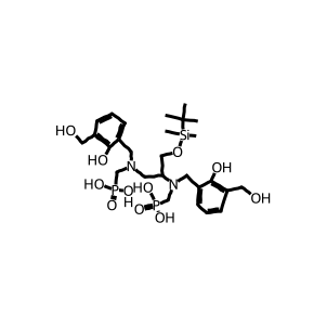 CC(C)(C)[Si](C)(C)OCC(CN(Cc1cccc(CO)c1O)CP(=O)(O)O)N(Cc1cccc(CO)c1O)CP(=O)(O)O